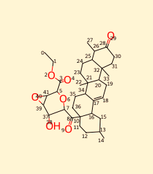 CCOC(=O)C1OC(C(=O)C23CCC(C)CC2C2=CCC4C(C)(CCC5C(C)C(=O)CCC54C)C2CC3)C(O)C2OC12